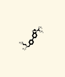 CC(C)n1cnc2cc(-c3ccc(CN(C)CCN)cc3)ccc21